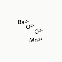 [Ba+2].[Mn+2].[O-2].[O-2]